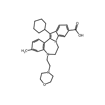 Cc1ccc2c(c1)N(CCN1CCOCC1)CCn1c-2c(C2CCCCC2)c2ccc(C(=O)O)cc21